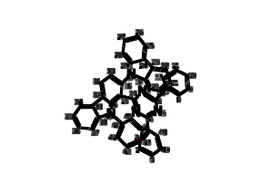 c1ccc(-c2nc(-c3ccccc3)nc(-c3c(-n4c5ccccc5c5ccccc54)ccc4c5ccccc5n(-c5ccccc5)c34)n2)cc1